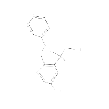 CSc1ccc(OCc2ccccc2)c(C(C)(C)CC=O)c1